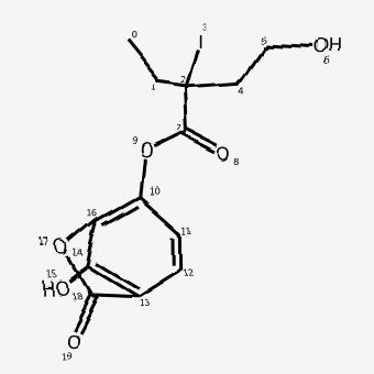 CCC(I)(CCO)C(=O)Oc1ccc2c(O)c1OC2=O